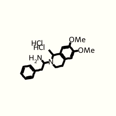 COc1cc2c(cc1OC)C(C)N(C(N)Cc1ccccc1)CC2.Cl.Cl